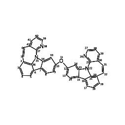 C1=Cc2cccc3c4ccc(Oc5ccc6c7cccc8c7n(c6c5)-c5ncccc5C=C8)cc4n(c23)-c2ncccc21